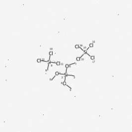 CO[Si](C)(OC)OC.C[Si](Cl)(Cl)Cl.Cl[Si](Cl)(Cl)Cl